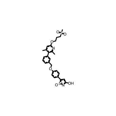 Cc1cc(OCCCS(C)(=O)=O)nc(C)c1-c1cccc(COc2ccc(-c3cc(O)n[s+]3[O-])cc2)c1